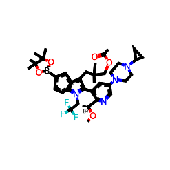 CO[C@@H](C)c1ncc(N2CCN(C3CC3)CC2)cc1-c1c(CC(C)(C)COC(C)=O)c2cc(B3OC(C)(C)C(C)(C)O3)ccc2n1CC(F)(F)F